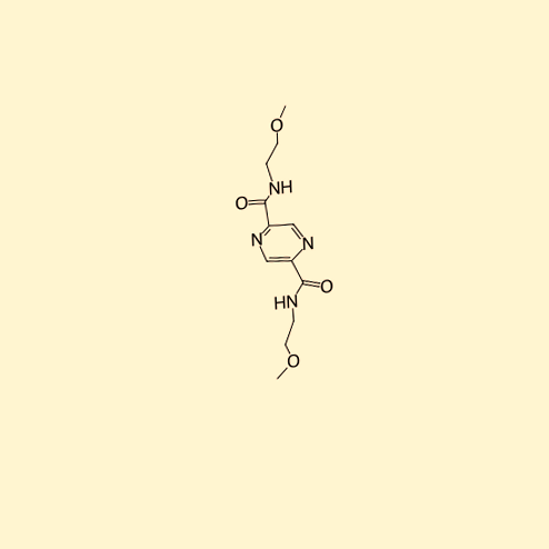 COCCNC(=O)c1cnc(C(=O)NCCOC)cn1